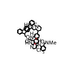 CNC(=O)c1ccccc1Nc1nc(NC(Nc2cccc(C3CCCN(C(=O)O)C3CC3c4ccccc4-c4ccccc43)c2)(C(=O)OCC2c3ccccc3-c3ccccc32)c2ccccc2)ncc1C(F)(F)F